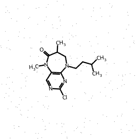 CC(C)CCN1CC(C)C(=O)N(C)c2cnc(Cl)nc21